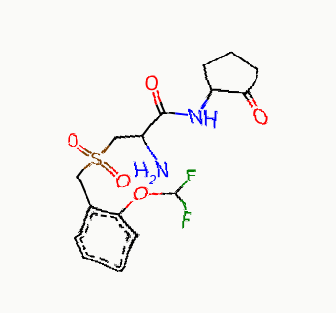 NC(CS(=O)(=O)Cc1ccccc1OC(F)F)C(=O)NC1CCCC1=O